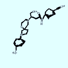 C#CC1=CC=C(NC(=O)CC(CO)N2CCOC3(CCN(c4ccc(C)cc4)C3)C2)CC1